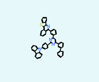 c1ccc(-c2cccc(-c3cc(-c4cccc(-c5nc6c7ccccc7sc6c6ccccc56)c4)nc(-c4ccc(-n5c6ccccc6c6ccccc65)cc4)n3)c2)cc1